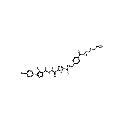 C/C(=N\NC(=O)c1ccc(C(=O)NCc2ccc(C(=O)NCCOCCO)cc2)s1)c1csc(-c2ccc(Br)cc2)c1O